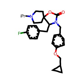 CC(C)N1CCC2(CC1)OC(=O)N(Cc1ccc(OCC3CC3)cc1)C2Cc1ccc(F)cc1